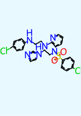 O=S(=O)(c1ccc(Cl)cc1)N(CCn1ccnc1)c1cccnc1NCCNc1ccc(Cl)cc1